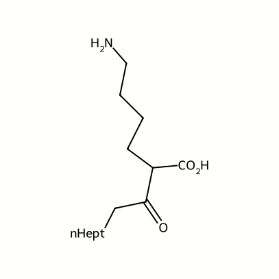 CCCCCCCCC(=O)C(CCCCN)C(=O)O